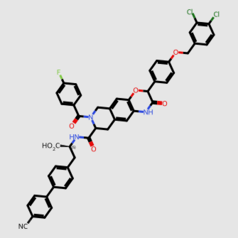 N#Cc1ccc(-c2ccc(C[C@H](NC(=O)C3Cc4cc5c(cc4CN3C(=O)c3ccc(F)cc3)OC(c3ccc(OCc4ccc(Cl)c(Cl)c4)cc3)C(=O)N5)C(=O)O)cc2)cc1